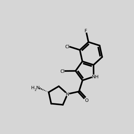 N[C@H]1CCN(C(=O)c2[nH]c3ccc(F)c(Cl)c3c2Cl)C1